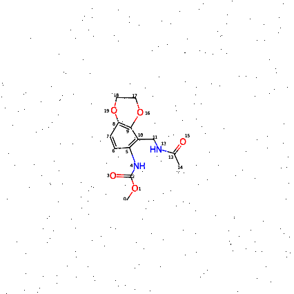 COC(=O)Nc1ccc2c(c1CNC(C)=O)OCCO2